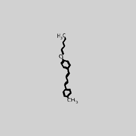 CCCCCCOc1ccc(/C=C/C=C/c2ccc(C)cc2)cc1